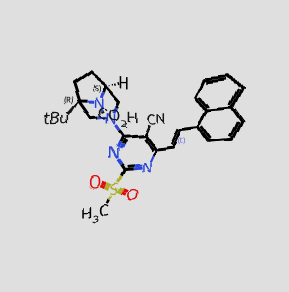 CC(C)(C)[C@]12CC[C@@H](CN(c3nc(S(C)(=O)=O)nc(/C=C/c4cccc5ccccc45)c3C#N)C1)N2C(=O)O